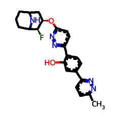 Cc1ccc(-c2ccc(-c3ccc(O[C@@H]4CC5CCCC(N5)[C@@H]4F)nn3)c(O)c2)nn1